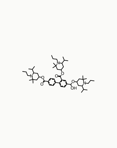 CCCN1C(C(C)C)CC(OC(=O)c2ccc(-c3ccc(C(O)OC4CC(C(C)C)N(CCC)C(C)(C)C4)cc3C(=O)OC3CC(C(C)C)N(CCC)C(C)(C)C3)cc2)CC1(C)C